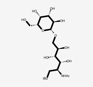 CC(=O)N[C@@H](CC(C)(C)C)[C@@H](O)[C@H](O)[C@H](O)CO[C@@H]1O[C@H](CO)[C@H](O)[C@H](O)[C@H]1O